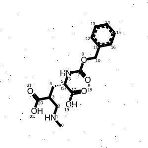 CNCC(C[C@H](NC(=O)OCc1ccccc1)C(=O)O)C(=O)O